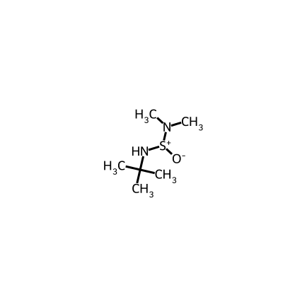 CN(C)[S+]([O-])NC(C)(C)C